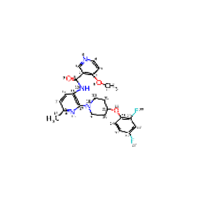 COc1ccncc1C(=O)Nc1ccc(C)nc1N1CCC(Oc2ccc(F)cc2F)CC1